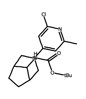 Cc1cc(N2CC3CCC(C2)C3NC(=O)OC(C)(C)C)cc(Cl)n1